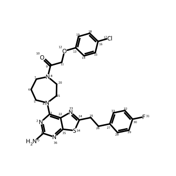 Nc1nc(N2CCCN(C(=O)COc3ccc(Cl)cc3)CC2)c2nc(CCc3ccc(F)cc3)sc2n1